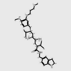 COCCCOc1cc(C[C@@H](C[C@H](N)[C@@H](O)C[C@H](C(=O)NCc2ccc3c(c2)CCO3)C(C)C)C(C)C)ccc1OC